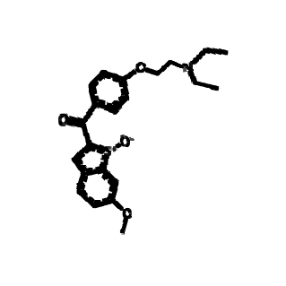 CCN(CC)CCOc1ccc(C(=O)c2cc3ccc(OC)cc3[s+]2[O-])cc1